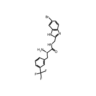 N[C@H](Cc1cccc(C(F)(F)F)c1)C(=O)NCc1nc2ccc(Br)cc2[nH]1